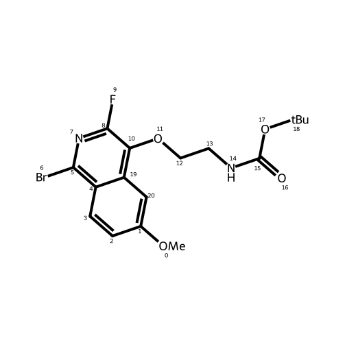 COc1ccc2c(Br)nc(F)c(OCCNC(=O)OC(C)(C)C)c2c1